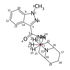 [2H]C1(NC(=O)c2nn(C)c3ccccc23)CC2CCCC(C1)N2C([2H])([2H])[2H]